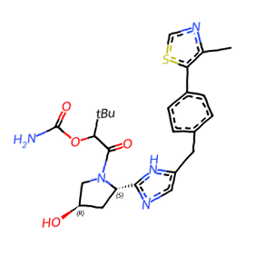 Cc1ncsc1-c1ccc(Cc2cnc([C@@H]3C[C@@H](O)CN3C(=O)C(OC(N)=O)C(C)(C)C)[nH]2)cc1